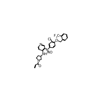 C=CC(=O)N1CCC(Nc2ccncc2N(N=O)c2ccc(OCc3ccccc3C(F)(F)F)c(Cl)c2)C1